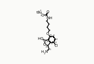 CC(C)(C)OC(=O)NCCCCOc1ccc(Cl)c2c1B(O)OC2CN